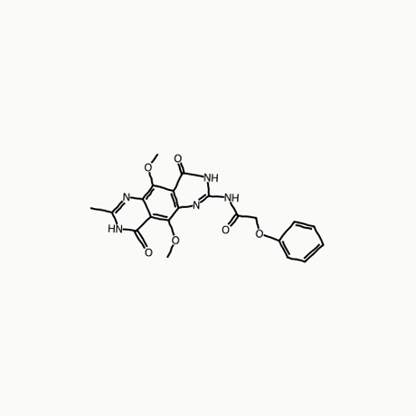 COc1c2nc(NC(=O)COc3ccccc3)[nH]c(=O)c2c(OC)c2nc(C)[nH]c(=O)c12